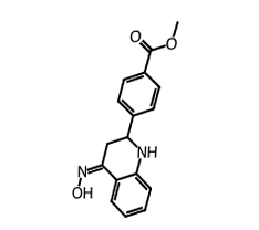 COC(=O)c1ccc(C2C/C(=N/O)c3ccccc3N2)cc1